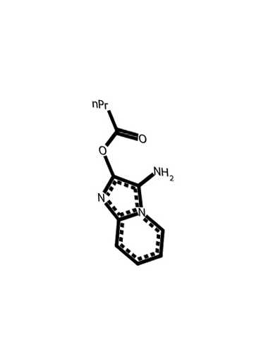 CCCC(=O)Oc1nc2ccccn2c1N